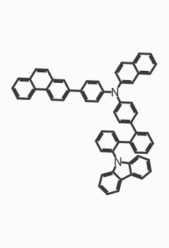 c1ccc(-c2ccccc2-n2c3ccccc3c3ccccc32)c(-c2ccc(N(c3ccc(-c4ccc5c(ccc6ccccc65)c4)cc3)c3ccc4ccccc4c3)cc2)c1